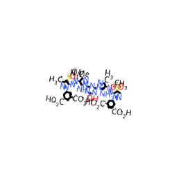 COOSc1c(C)nn(-c2cc(C(=O)O)cc(C(=O)O)c2)c1N=Nc1c(C)nn(-c2nc(O)nc(-n3nc(C)c(N=Nc4c(S(C)(=O)=O)cnn4-c4cc(C(=O)O)cc(C(=O)O)c4)c3N)n2)c1N